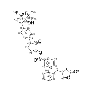 O=C1CC(CC2CC3C=CC2(C24C=CC(C2)C(C(=O)OC2CCC(C5=CC6CC5CC6CC(O)(C(F)(F)F)C(F)(F)F)C2=O)C4)C3)CO1